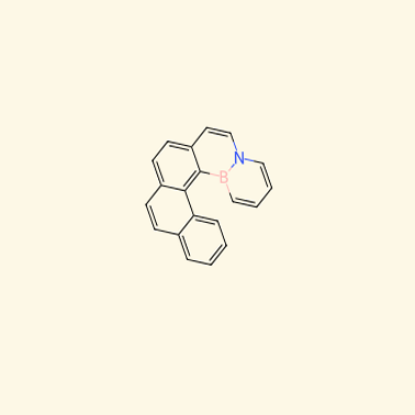 C1=CB2c3c(ccc4ccc5ccccc5c34)C=CN2C=C1